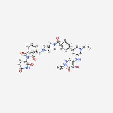 CN1C[C@H](Nc2cnn(C)c(=O)c2Br)C[C@H](c2ccc(C(=O)N3CC4(CN(Cc5cccc6c5C(=O)N(C5CCC(=O)NC5=O)C6=O)C4)C3)cc2)C1